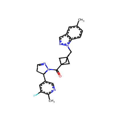 Cc1ccc2c(cnn2CC23CC(C(=O)N4N=CCC4c4cnc(C)c(F)c4)(C2)C3)c1